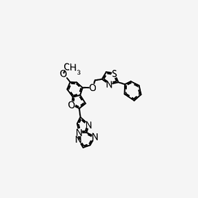 COc1cc(OCc2csc(-c3ccccc3)n2)c2cc(-c3cn4nccnc4n3)oc2c1